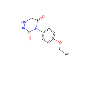 CC(=O)COc1ccc(N2C(=O)CNNC2=O)cc1